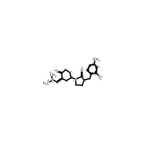 Cc1ccc(CC2CCN(C3CCC(=O)/C(=C\N(C)C)C3)C2=O)c(Cl)c1